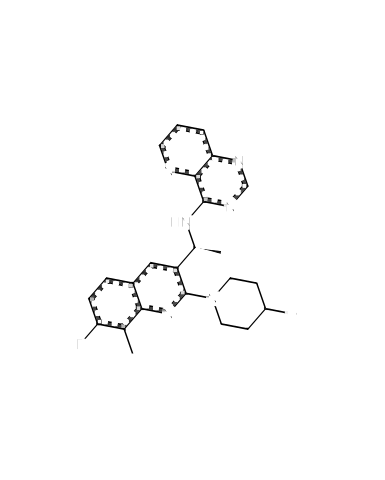 Cc1c(F)ccc2cc([C@H](C)Nc3ncnc4cccnc34)c(N3CCC(O)CC3)nc12